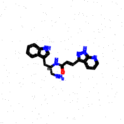 NC[C@H](Cc1c[nH]c2ccccc12)NC(=O)C=Cc1n[nH]c2ncccc12